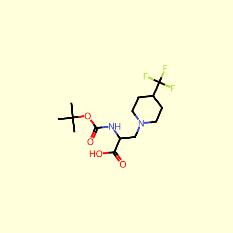 CC(C)(C)OC(=O)NC(CN1CCC(C(F)(F)F)CC1)C(=O)O